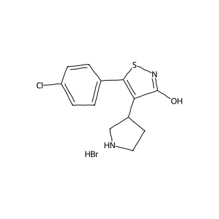 Br.Oc1nsc(-c2ccc(Cl)cc2)c1C1CCNC1